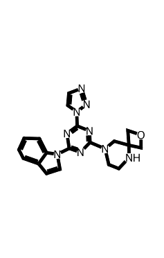 c1ccc2c(c1)ccn2-c1nc(N2CCNC3(COC3)C2)nc(-n2ccnn2)n1